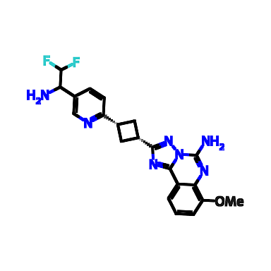 COc1cccc2c1nc(N)n1nc([C@H]3C[C@@H](c4ccc(C(N)C(F)F)cn4)C3)nc21